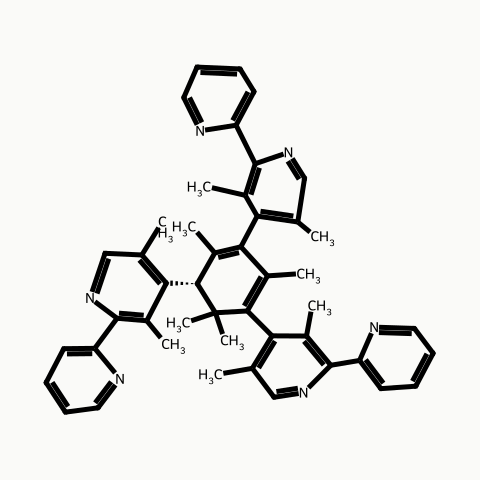 CC1=C(c2c(C)cnc(-c3ccccn3)c2C)C(C)(C)[C@H](c2c(C)cnc(-c3ccccn3)c2C)C(C)=C1c1c(C)cnc(-c2ccccn2)c1C